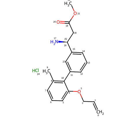 C=CCOc1cccc(C)c1-c1cccc([C@@H](N)CC(=O)OC)c1.Cl